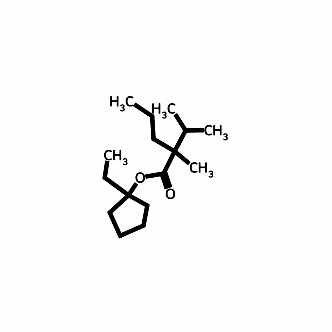 CCCC(C)(C(=O)OC1(CC)CCCC1)C(C)C